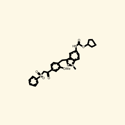 COc1cc(C(=O)CS(=O)(=O)c2ccccc2)ccc1Cc1nn(C)c2ccc(NC(=O)OC3CCCC3)cc12